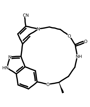 C[C@@H]1CCNC(=O)OCCn2cc(cc2C#N)-c2n[nH]c3ccc(cc23)O1